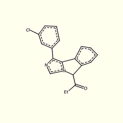 CCC(=O)C1c2ccccc2-c2c(-c3cccc(Cl)c3)ncn21